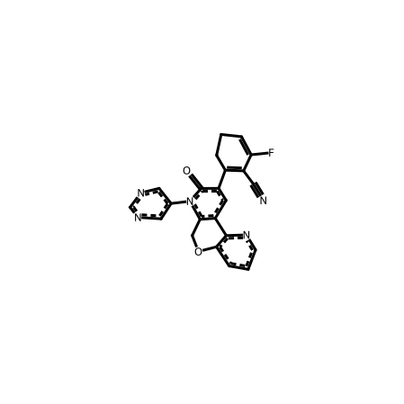 N#CC1=C(c2cc3c(n(-c4cncnc4)c2=O)COc2cccnc2-3)CCC=C1F